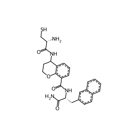 NC(=O)[C@@H](Cc1ccc2ccccc2c1)NC(=O)c1cccc2c1OCCC2NC(=O)[C@@H](N)CS